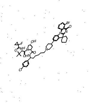 CC(C)(C)[C@H](NC(=O)C1(F)CC1)C(=O)N1C[C@H](O)C[C@H]1C(=O)N[C@@H](CCCCCN1CCC(c2ccc3c(c2)C2(CCCCC2)c2nc(=O)c4c(Br)cccc4n2-3)CC1)c1ccc(Cl)cc1